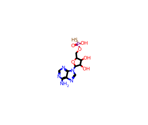 Nc1ncnc2c1ncn2C1OC(COP(=O)(O)S)C(O)C1O